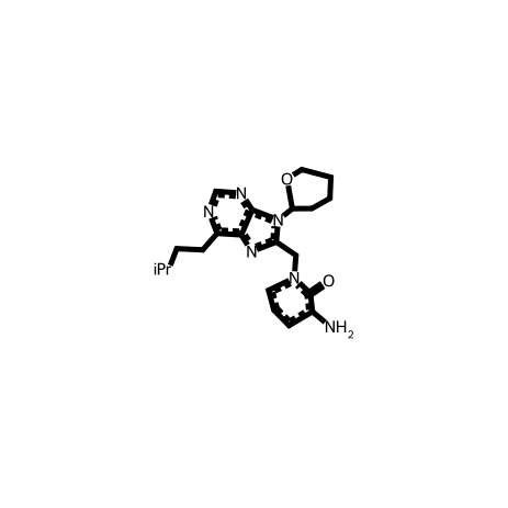 CC(C)CCc1ncnc2c1nc(Cn1cccc(N)c1=O)n2C1CCCCO1